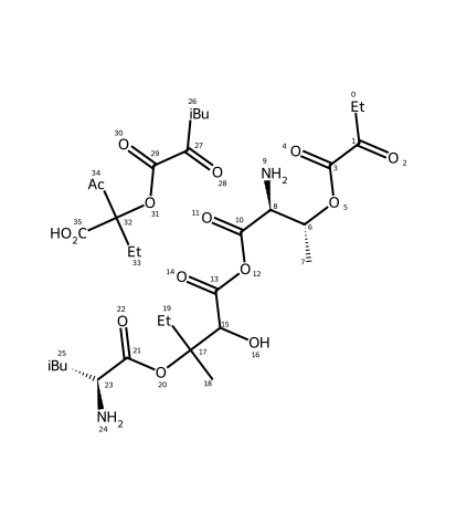 CCC(=O)C(=O)O[C@H](C)[C@H](N)C(=O)OC(=O)C(O)C(C)(CC)OC(=O)[C@@H](N)[C@@H](C)CC.CCC(C)C(=O)C(=O)OC(CC)(C(C)=O)C(=O)O